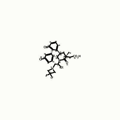 CCC(CN1CC(F)(F)C1)N1C(=O)[C@@](C)(CC(=O)O)C[C@H](c2cccc(Cl)c2)[C@H]1c1ccc(Cl)cc1